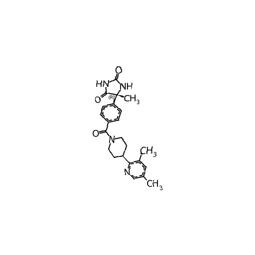 Cc1cnc(C2CCN(C(=O)c3ccc([C@@]4(C)NC(=O)NC4=O)cc3)CC2)c(C)c1